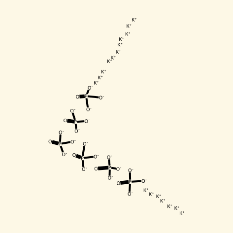 O=P([O-])([O-])[O-].O=P([O-])([O-])[O-].O=P([O-])([O-])[O-].O=P([O-])([O-])[O-].O=P([O-])([O-])[O-].O=P([O-])([O-])[O-].[K+].[K+].[K+].[K+].[K+].[K+].[K+].[K+].[K+].[K+].[K+].[K+].[K+].[K+].[K+].[K+].[K+].[K+]